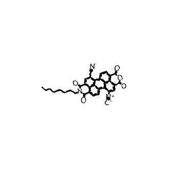 [C-]#[N+]c1cc2c3c(ccc4c5c(C#N)cc6c7c(ccc(c1c34)c75)C(=O)N(CCCCCCCC)C6=O)C(=O)OC2=O